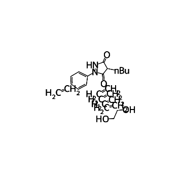 C=C.C=C.C=C.C=C.C=C.CCCCC1C(=O)NN(c2ccccc2)C1=O.OCCO